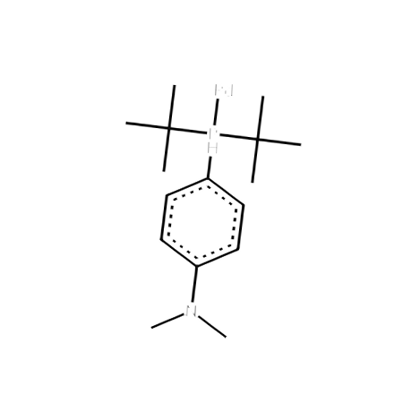 CN(C)c1ccc([PH]([Pd])(C(C)(C)C)C(C)(C)C)cc1